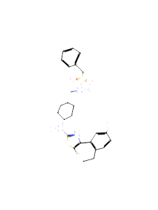 O=S(=O)(Cc1ccccc1)NC[C@H]1CC[C@H](Nc2nc3c(s2)CCCc2ccc(F)cc2-3)CC1